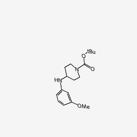 COc1cccc(NC2CCN(C(=O)OC(C)(C)C)CC2)c1